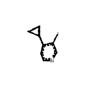 Ic1cnccc1C1CC1